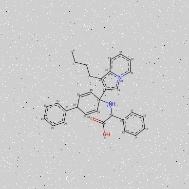 CCCCc1c(C2(NC(C(=O)O)c3ccccc3)C=CC(c3ccccc3)C=C2)cn2ccccc12